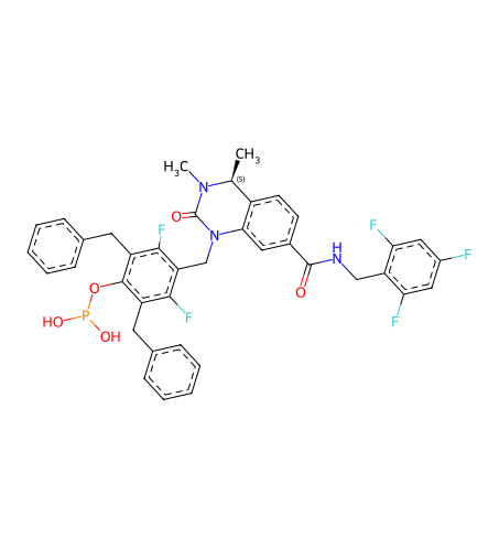 C[C@H]1c2ccc(C(=O)NCc3c(F)cc(F)cc3F)cc2N(Cc2c(F)c(Cc3ccccc3)c(OP(O)O)c(Cc3ccccc3)c2F)C(=O)N1C